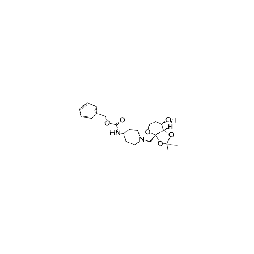 CC1(C)O[C@H]2[C@H](O)CCO[C@@]2(CN2CCC(NC(=O)OCc3ccccc3)CC2)O1